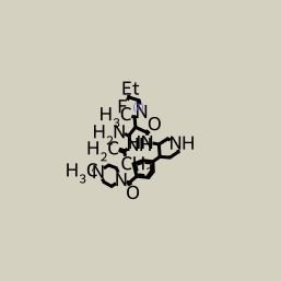 C=C(C)NC(N)C(C(=O)NC1CNCCC1c1ccc(C(=O)N2CCN(C)CC2)cc1)C(C)/N=C\C(F)CC